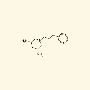 N[C@@H]1C[C@H](N)CN(CCCc2ccccc2)C1